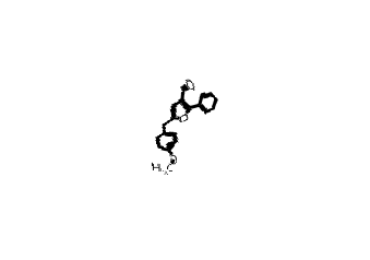 COc1ccc(Cc2cc(C=O)c(-c3ccccc3)o2)cc1